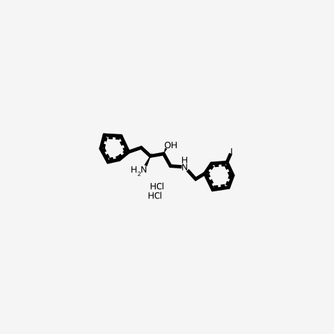 Cl.Cl.N[C@@H](Cc1ccccc1)[C@H](O)CNCc1cccc(I)c1